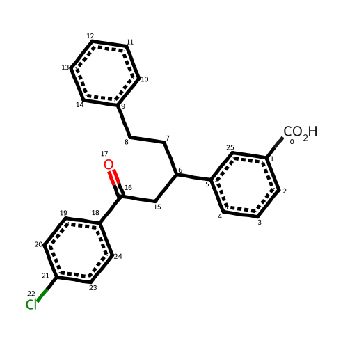 O=C(O)c1cccc(C(CCc2ccccc2)CC(=O)c2ccc(Cl)cc2)c1